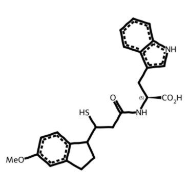 COc1ccc2c(c1)CCC2C(S)CC(=O)N[C@@H](Cc1c[nH]c2ccccc12)C(=O)O